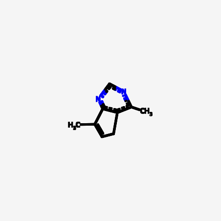 CC1=CCc2c(C)ncnc21